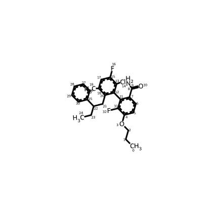 CCCOc1ccc(C(N)=O)c(-c2c(Cl)c(F)cc(C)c2CC(CC)c2ccccc2)c1F